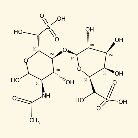 CC(=O)N[C@H]1C(O)O[C@H](C(O)S(=O)(=O)O)[C@@H](O[C@@H]2O[C@H](C(O)S(=O)(=O)O)[C@H](O)[C@H](O)[C@H]2O)[C@@H]1O